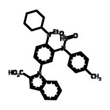 CCN(c1ccc(-n2c(C(=O)O)cc3ccccc32)cc1N(c1ccc(C)cc1)[SH](=O)=O)C1CCCCC1